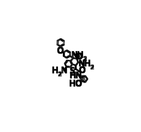 Nc1ccc2c3c(c(C(=O)N[C@@H]4CCC[C@@H]4O)sc13)C(N)C(=O)C2(N)c1ccc(Oc2ccccc2)cc1